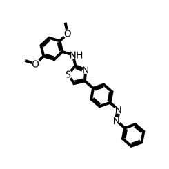 COc1ccc(OC)c(Nc2nc(-c3ccc(N=Nc4ccccc4)cc3)cs2)c1